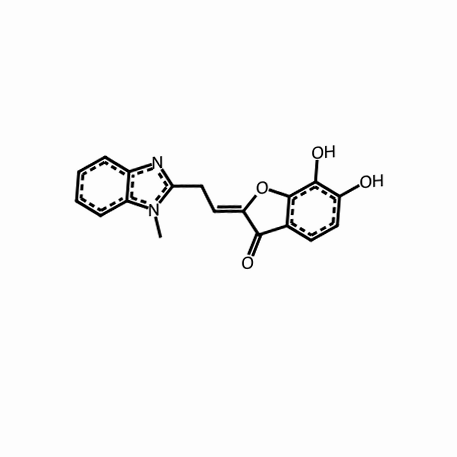 Cn1c(CC=C2Oc3c(ccc(O)c3O)C2=O)nc2ccccc21